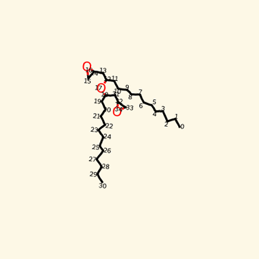 CCCCCCCCCCCCC(CC1CO1)OC(CCCCCCCCCCCC)CC1CO1